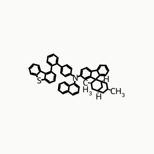 C[C@H]1C[C@@H]2C[C@H](C1)C1(c3ccccc3-c3ccc(N(c4ccc(-c5ccccc5-c5cccc6sc7ccccc7c56)cc4)c4cccc5ccccc45)cc31)[C@H](C)C2